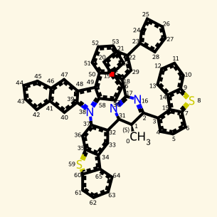 C[C@@H]1C(c2cccc3sc4ccccc4c23)=NC(c2cccc(-c3ccccc3)c2)=NC1c1cc2c(cc1-n1c3cc4ccccc4cc3c3c4ccccc4ccc31)sc1ccccc12